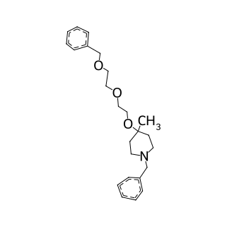 CC1(OCCOCCOCc2ccccc2)CCN(Cc2ccccc2)CC1